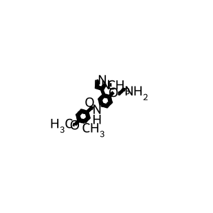 COc1ccc(C(=O)Nc2ccc(OCCN)c(-c3ccnn3C)c2)cc1C